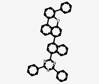 c1ccc(-c2nc(-c3ccccc3)nc(-c3ccc(-c4ccc5c6c(cccc46)-c4cccc(-c6ccccc6)c4O5)c4ccccc34)n2)cc1